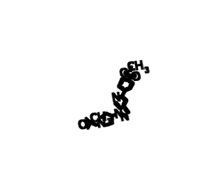 CC1(CN2CCC(n3ncc4cc(-c5ccc(S(C)(=O)=O)cc5)ncc43)CC2)COC1